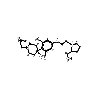 CCCc1cc(OCCN2CCCC2CO)cc(F)c1C1(C(C)=O)CCN(CNC)CC1